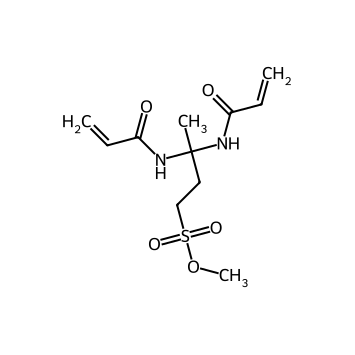 C=CC(=O)NC(C)(CCS(=O)(=O)OC)NC(=O)C=C